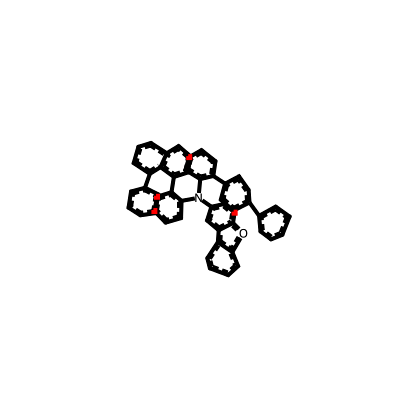 c1ccc(-c2ccc(-c3ccccc3N(c3ccc4oc5ccccc5c4c3)c3ccccc3-c3cccc4cccc(-c5ccccc5)c34)cc2)cc1